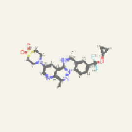 Cc1nnc(N[C@H](C)c2cccc(C(F)(F)OC3CC3)c2)c2cc(N3CCS(=O)(=O)CC3)cnc12